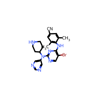 Cc1cc(C#N)cc(C)c1Nc1nc(N(c2cncnc2)C2CCNCC2)ncc1Br